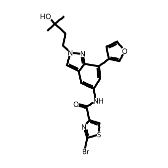 CC(C)(O)CCn1cc2cc(NC(=O)c3csc(Br)n3)cc(-c3ccoc3)c2n1